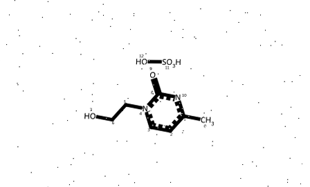 Cc1ccn(CCO)c(=O)n1.O=S(=O)(O)O